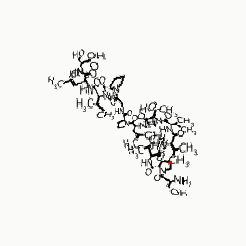 CC[C@H](C)[C@H](NC(=O)[C@@H]1CCCN1C(=O)CNC(=O)[C@@H]1CCCN1C(=O)[C@H](CC(C)C)NC(=O)[C@@H](NC(=O)[C@@H](NC(=O)[C@@H](NC(=O)[C@@H](NC(=O)[C@@H]1CCCN1C(=O)[C@@H](N)CO)C(C)C)C(C)C)C(C)C)[C@@H](C)O)C(=O)N[C@@H](CC(C)C)C(=O)N[C@@H](CO)C(=O)O